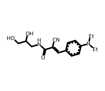 CCN(CC)c1ccc(/C=C(\C#N)C(=O)NCC(O)CO)cc1